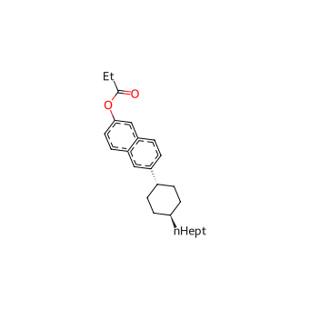 CCCCCCC[C@H]1CC[C@H](c2ccc3cc(OC(=O)CC)ccc3c2)CC1